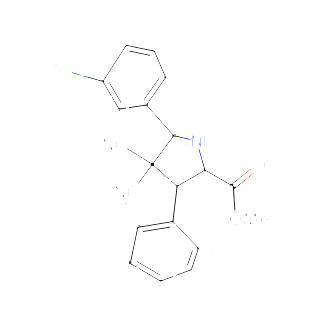 COC(=O)C1NC(c2cccc(Br)c2)C(C#N)(C#N)C1c1ccccc1